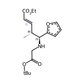 CCOC(=O)/C=C/[C@@H](C)[C@H](NCC(=O)OC(C)(C)C)c1ccco1